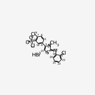 Br.Cn1c(-c2ccc(Cl)c(S(=O)(=O)Cl)c2)csc1=Nc1ccccc1Cl